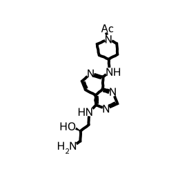 CC(=O)N1CCC(Nc2nccc3c(NC[C@H](O)CN)ncnc23)CC1